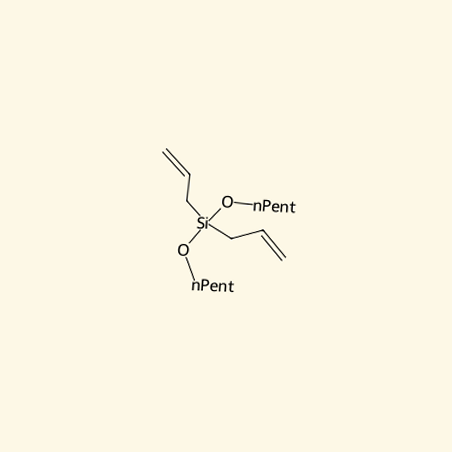 C=CC[Si](CC=C)(OCCCCC)OCCCCC